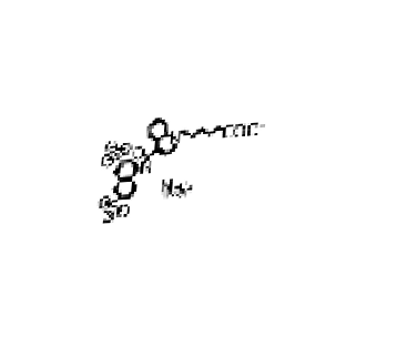 O=C([O-])CCCCC[n+]1ccc(-c2nc3c(o2)c(S(=O)(=O)[O-])cc2cc(S(=O)(=O)[O-])ccc23)c2ccccc21.[Na+].[Na+]